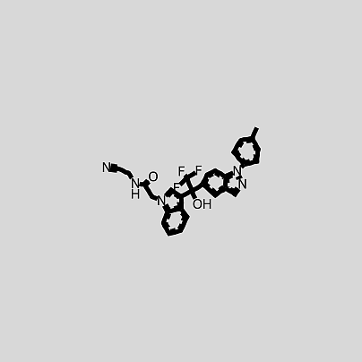 Cc1ccc(-n2ncc3cc(C(O)(c4cn(CC(=O)NCC#N)c5ccccc45)C(F)(F)F)ccc32)cc1